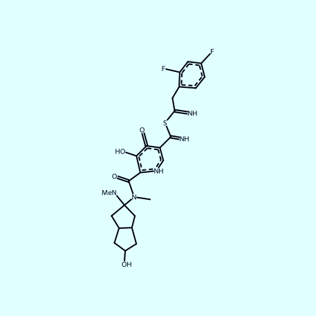 CNC1(N(C)C(=O)c2[nH]cc(C(=N)SC(=N)Cc3ccc(F)cc3F)c(=O)c2O)CC2CC(O)CC2C1